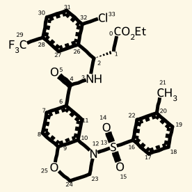 CCOC(=O)C[C@H](NC(=O)c1ccc2c(c1)N(S(=O)(=O)c1cccc(C)c1)CCO2)c1cc(C(F)(F)F)ccc1Cl